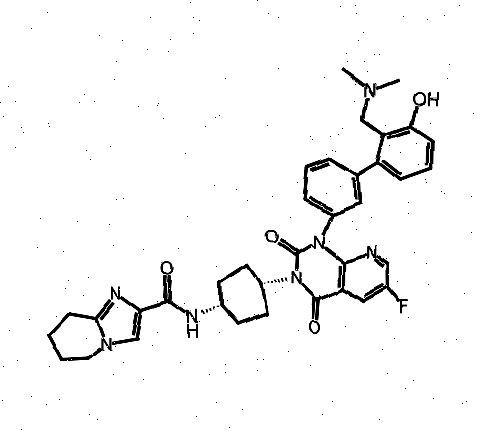 CN(C)Cc1c(O)cccc1-c1cccc(-n2c(=O)n([C@H]3CC[C@@H](NC(=O)c4cn5c(n4)CCCC5)CC3)c(=O)c3cc(F)cnc32)c1